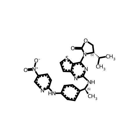 CC(C)[C@H]1COC(=O)N1c1nc(N[C@@H](C)c2ccc(Nc3ccc([N+](=O)[O-])cn3)cc2)nc2ccsc12